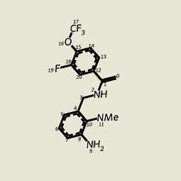 C=C(NCc1cccc(N)c1NC)c1ccc(OC(F)(F)F)c(F)c1